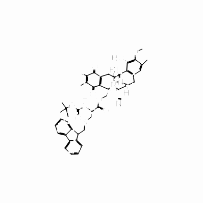 COc1c(C)cc2c(c1O)[C@@H]1[C@@H]3CC4=C(C(=O)C(C)=C(C)C4=O)[C@H](COC(=O)[C@@H](CSCC4c5ccccc5-c5ccccc54)NC(=O)OC(C)(C)C)N3[C@@H](C#N)[C@H](C2)N1C